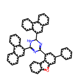 c1ccc(-c2cc(C3=NC(c4cc5ccccc5c5ccccc45)NC(c4cc5ccccc5c5ccccc45)=N3)c3c(c2)oc2ccccc23)cc1